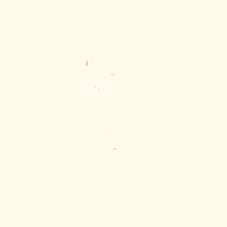 CCC(C)C(=O)NCCc1ccc(O)c(O)c1